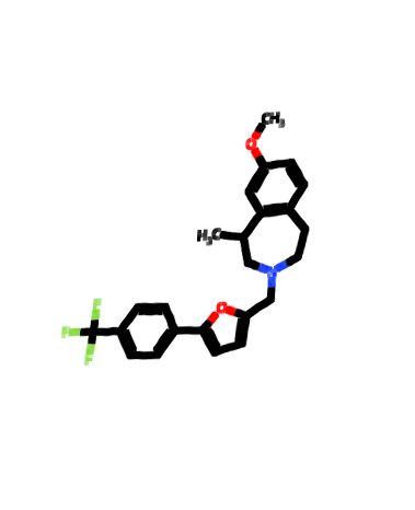 COc1ccc2c(c1)C(C)CN(Cc1ccc(-c3ccc(C(F)(F)F)cc3)o1)CC2